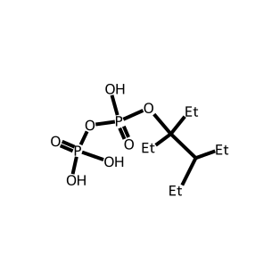 CCC(CC)C(CC)(CC)OP(=O)(O)OP(=O)(O)O